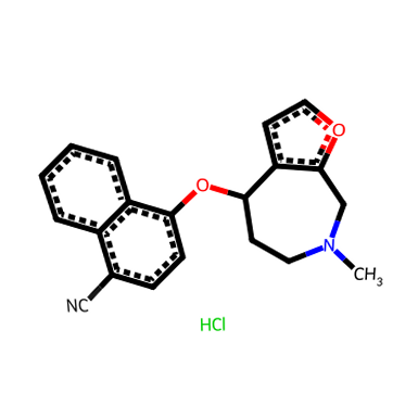 CN1CCC(Oc2ccc(C#N)c3ccccc23)c2ccoc2C1.Cl